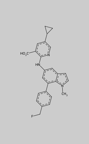 Cn1ccc2cc(Nc3ncc(C4CC4)cc3C(=O)O)cc(-c3ccc(CF)cc3)c21